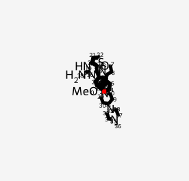 COc1cc(C2(N3OCCC3c3ccccc3)N=C(N)Nc3ccsc32)ccc1N1CCC(N2CCN(C)CC2)CC1